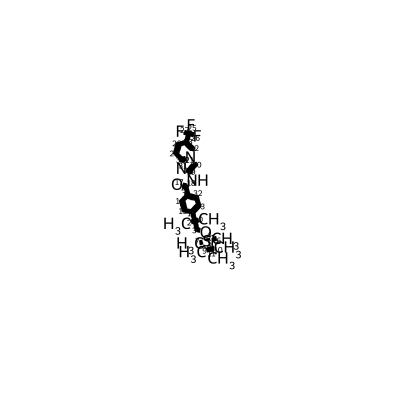 CC(C)(CO[Si](C)(C)C(C)(C)C)c1ccc(C(=O)Nc2cn3cc(C(F)(F)F)ccc3n2)cc1